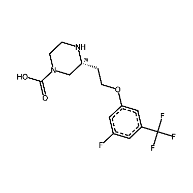 O=C(O)N1CCN[C@H](CCOc2cc(F)cc(C(F)(F)F)c2)C1